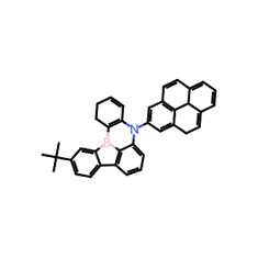 CC(C)(C)c1ccc2c(c1)B1C3=C(C=CCC3)N(c3cc4c5c(c3)CC=C3C=CC=C(C=C4)C35)c3cccc-2c31